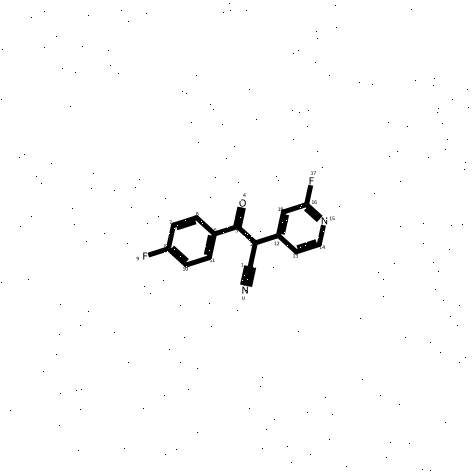 N#CC(C(=O)c1ccc(F)cc1)c1ccnc(F)c1